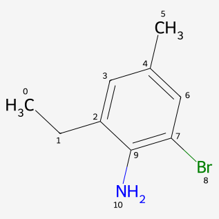 CCc1cc(C)cc(Br)c1N